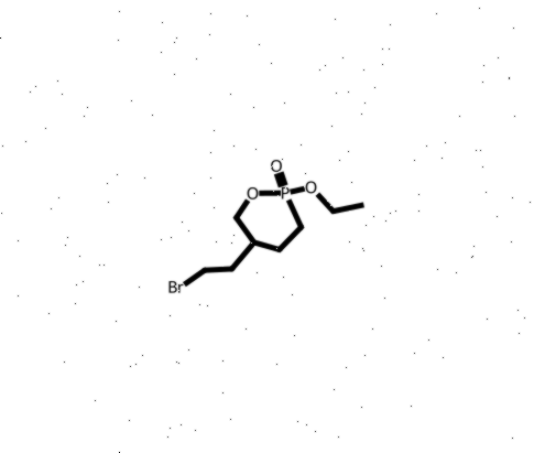 CCOP1(=O)CCC(CCBr)CO1